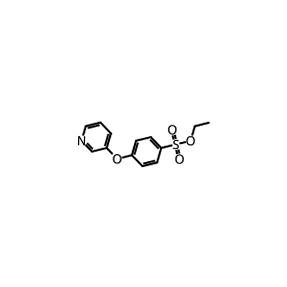 CCOS(=O)(=O)c1ccc(Oc2cccnc2)cc1